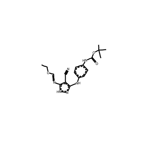 CCOC=Nc1[nH]nc(Nc2ccc(NC(=O)OC(C)(C)C)cc2)c1C#N